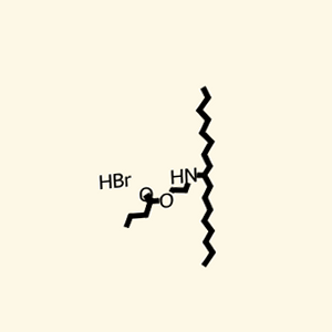 Br.CCCCCCCCC(CCCCCCCC)NCCOC(=O)CCC